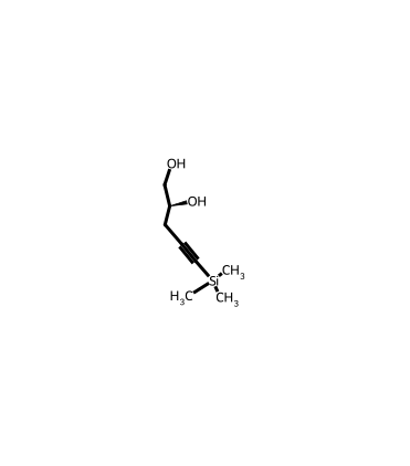 C[Si](C)(C)C#CC[C@H](O)CO